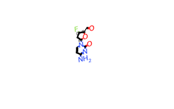 Nc1ccn([C@H]2C[C@H](F)[C@@H](C=O)O2)c(=O)n1